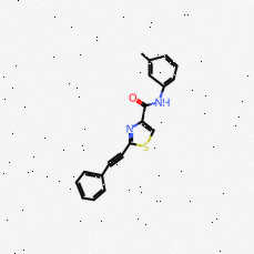 Cc1cccc(NC(=O)c2csc(C#Cc3ccccc3)n2)c1